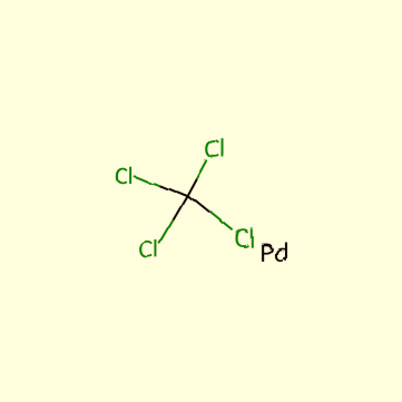 ClC(Cl)(Cl)Cl.[Pd]